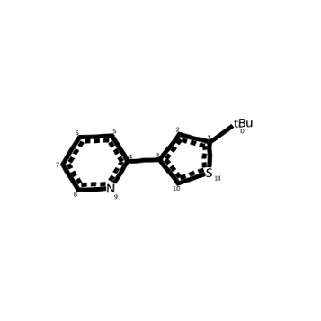 CC(C)(C)c1cc(-c2ccccn2)cs1